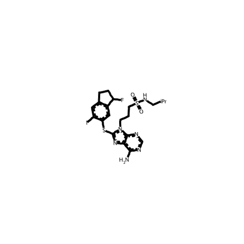 CC(C)CNS(=O)(=O)CCCn1c(Sc2cc3c(cc2I)CCC3F)nc2c(N)ncnc21